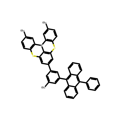 CC(C)(C)c1cc(-c2cc3c4c(c2)Sc2ccc(C(C)(C)C)cc2B4c2cc(C(C)(C)C)ccc2S3)cc(-c2c3ccccc3c(-c3ccccc3)c3ccccc23)c1